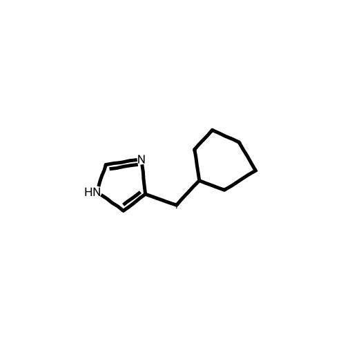 [CH](c1c[nH]cn1)C1CCCCC1